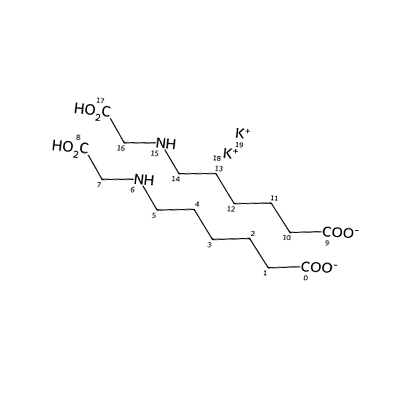 O=C([O-])CCCCCNCC(=O)O.O=C([O-])CCCCCNCC(=O)O.[K+].[K+]